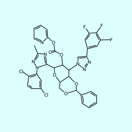 Cc1nc(C2OC3COC(c4ccccc4)OC3C(n3cc(-c4cc(F)c(F)c(F)c4)nn3)C2OC(=O)Oc2ccccn2)n(-c2cc(Cl)ccc2Cl)n1